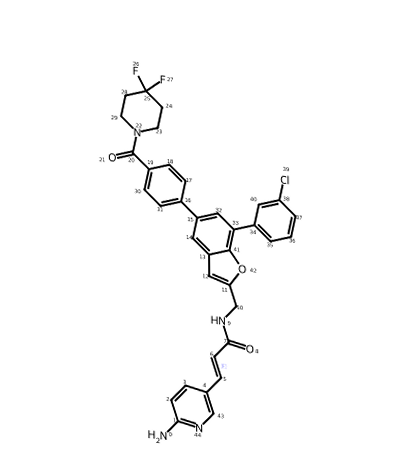 Nc1ccc(/C=C/C(=O)NCc2cc3cc(-c4ccc(C(=O)N5CCC(F)(F)CC5)cc4)cc(-c4cccc(Cl)c4)c3o2)cn1